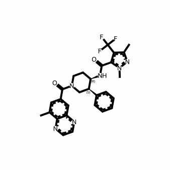 Cc1nn(C)c(C(=O)N[C@@H]2CCN(C(=O)c3cc(C)c4nccnc4c3)C[C@@H]2c2ccccc2)c1C(F)(F)F